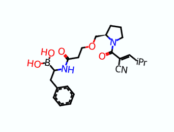 CC(C)C=C(C#N)C(=O)N1CCC[C@@H]1COCCC(=O)NC(Cc1ccccc1)B(O)O